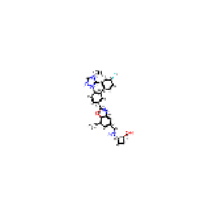 Cn1cnnc1-c1cc(F)ccc1-c1cccc(-c2nc3cc(CN[C@H]4CC[C@@H]4O)cc(C(F)(F)F)c3o2)c1